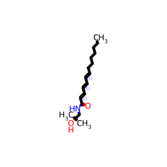 CCCCCCC/C=C/C=C/C=C/C(=O)NCC(C)(C)O